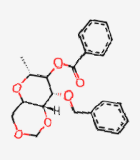 C[C@H]1OC2COCO[C@H]2[C@@H](OCc2ccccc2)C1OC(=O)c1ccccc1